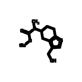 CN(C(=O)OC(C)(C)C)C1CCc2scc(CO)c2C1